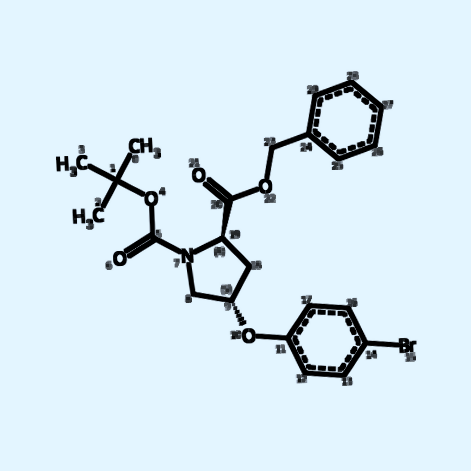 CC(C)(C)OC(=O)N1C[C@@H](Oc2ccc(Br)cc2)C[C@@H]1C(=O)OCc1ccccc1